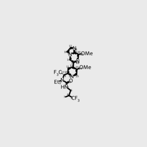 CCN(C(=O)NCC(C)C(F)(F)F)[C@@H](c1cc(-c2cn3ccnc3c(OC)n2)c(OC)cn1)C(F)(F)F